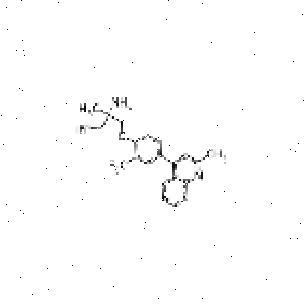 Cc1cc(-c2ccc(OCC(C)(N)CC(C)C)c(C(F)(F)F)c2)c2ccccc2n1